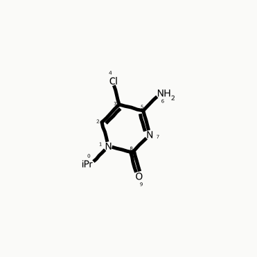 CC(C)n1cc(Cl)c(N)nc1=O